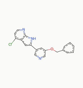 Clc1ccnc2[nH]c(-c3cncc(OCc4ccccc4)c3)cc12